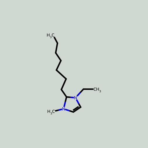 CCCCCCCC1N(C)C=CN1CC